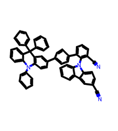 N#Cc1ccc2c(c1)c1ccccc1n2-c1c(C#N)cccc1-c1ccc(-c2ccc3c(c2)C(c2ccccc2)(c2ccccc2)c2ccccc2N3c2ccccc2)cc1